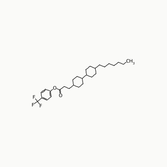 CCCCCCCC1CCC(C2CCC(CCC(=O)Oc3ccc(C(F)(F)F)cc3)CC2)CC1